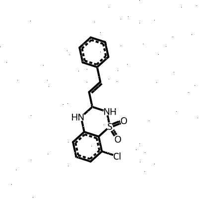 O=S1(=O)NC(/C=C/c2ccccc2)Nc2cccc(Cl)c21